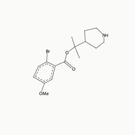 COc1ccc(Br)c(C(=O)OC(C)(C)C2CCNCC2)c1